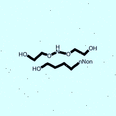 CCCCCCCCCCCCCO.OCCONOCCO